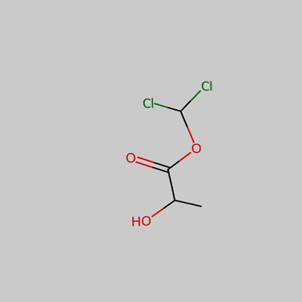 CC(O)C(=O)OC(Cl)Cl